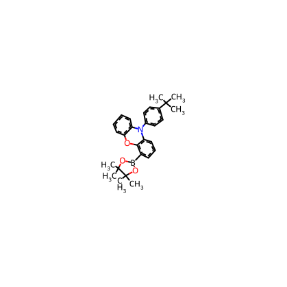 CC(C)(C)c1ccc(N2c3ccccc3Oc3c(B4OC(C)(C)C(C)(C)O4)cccc32)cc1